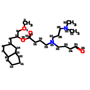 COCC(CC1CCC2CCCCC2C1)OC(=O)CCCN(CCCC=O)CCCN(C)C